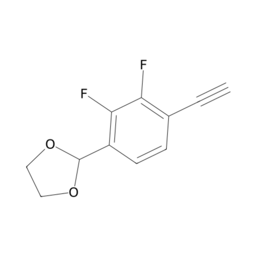 C#Cc1ccc(C2OCCO2)c(F)c1F